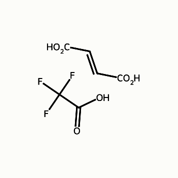 O=C(O)C(F)(F)F.O=C(O)C=CC(=O)O